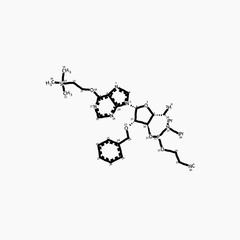 [2H]C[C@H]1O[C@@H](n2cnc3c(OCC[Si](C)(C)C)ncnc32)[C@@H](OCc2ccccc2)[C@@H]1OP(OCC[N+]#[C-])N(C(C)C)C(C)C